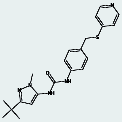 Cn1nc(C(C)(C)C)cc1NC(=O)Nc1ccc(CSc2ccncc2)cc1